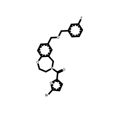 O=C(c1ccc(Br)o1)N1CCOc2ccc(COCc3cccc(F)c3)cc2C1